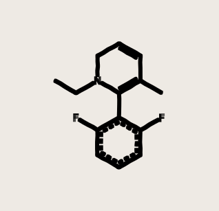 CCN1CC=CC(C)=C1c1c(F)cccc1F